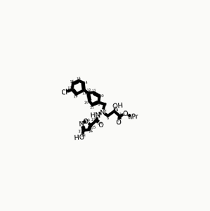 CC(C)OC(=O)[C@H](O)CN(Cc1ccc(-c2cccc(Cl)c2)cc1)NC(=O)c1cc(O)no1